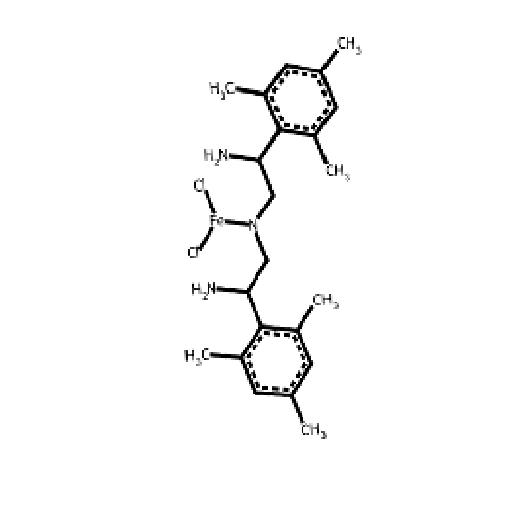 Cc1cc(C)c(C(N)C[N](CC(N)c2c(C)cc(C)cc2C)[Fe]([Cl])[Cl])c(C)c1